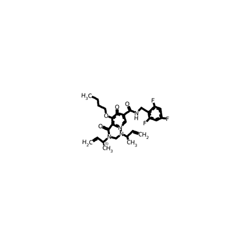 C=CC(C)N1CN([C@@H](C)C=C)C(=O)c2c(OCCCC)c(=O)c(C(=O)NCc3c(F)cc(F)cc3F)cn21